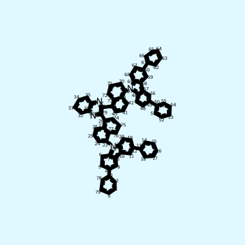 c1ccc(-c2ccc3c(c2)c2cc(-c4ccccc4)ccc2n3-c2cccc3c(-c4nc5ccccc5nc4-c4cccc5c(-n6c7ccc(-c8ccccc8)cc7c7cc(-c8ccccc8)ccc76)cccc45)cccc23)cc1